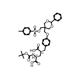 Cc1ccc(S(=O)(=O)OCC2(COc3ccc(C[C@@H](C[C@H](NC(=O)OC(C)(C)C)C(=O)O)C(=O)O)cc3)COC(c3ccccc3)OC2)cc1